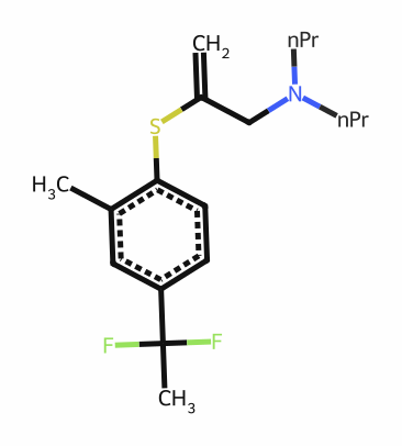 C=C(CN(CCC)CCC)Sc1ccc(C(C)(F)F)cc1C